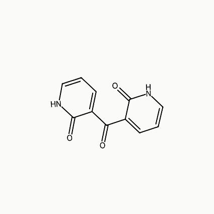 O=C(c1ccc[nH]c1=O)c1ccc[nH]c1=O